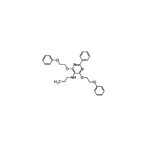 CCCNc1c(OCCOc2ccccc2)nc(-c2ccccc2)nc1OCCOc1ccccc1